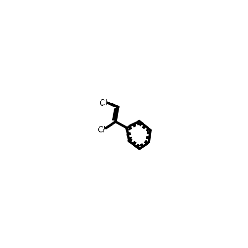 ClC=C(Cl)c1ccccc1